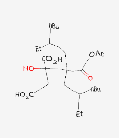 CCCCC(CC)CC(CC(CC)CCCC)(C(=O)OC(C)=O)C(O)(CC(=O)O)C(=O)O